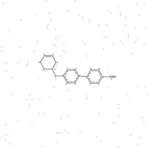 COc1ccc(-c2ccc(CC3CC=CCC3)cc2)cc1